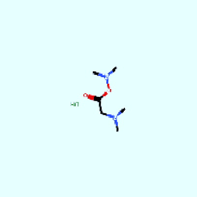 CN(C)CC(=O)ON(C)C.Cl